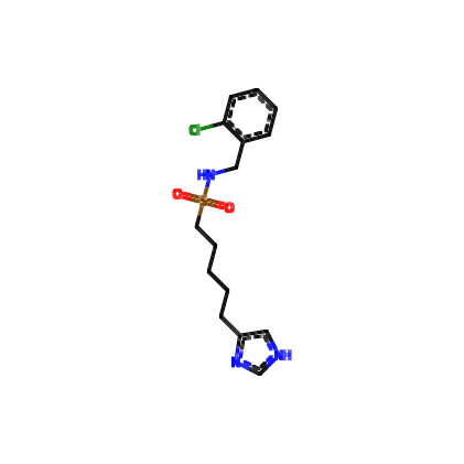 O=S(=O)(CCCCCc1c[nH]cn1)NCc1ccccc1Cl